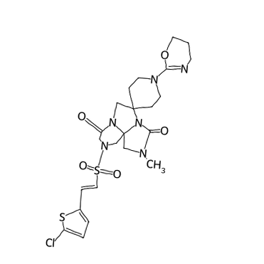 CN1CC23CN(S(=O)(=O)/C=C/c4ccc(Cl)s4)CC(=O)N2CC2(CCN(C4=NCCCO4)CC2)N3C1=O